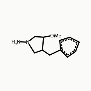 COC1CN(N)CC1Cc1ccccc1